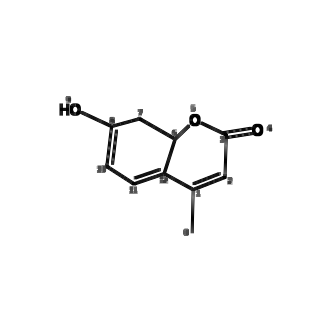 CC1=CC(=O)OC2CC(O)=CC=C12